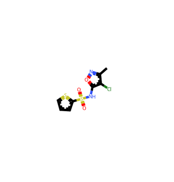 Cc1noc(NS(=O)(=O)c2cccs2)c1Cl